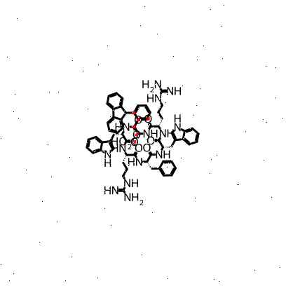 N=C(N)NCCC[C@H](NC(=O)[C@H](Cc1c[nH]c2ccccc12)NC(=O)[C@H](Cc1ccccc1)NC(=O)[C@H](CCCNC(=N)N)NC(=O)[C@H](Cc1c[nH]c2ccccc12)NC(=O)OCC1c2ccccc2-c2ccccc21)C(=O)N[C@@H](Cc1ccccc1)C(=O)O